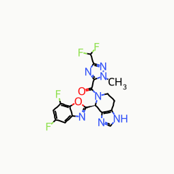 Cn1nc(C(F)F)nc1C(=O)N1CCc2[nH]cnc2[C@H]1c1nc2cc(F)cc(F)c2o1